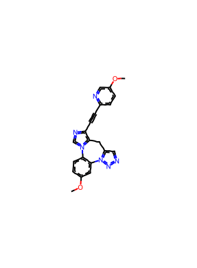 COc1ccc(C#Cc2ncn3c2Cc2cnnn2-c2cc(OC)ccc2-3)nc1